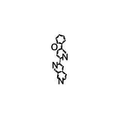 c1ccc2c(c1)oc1cc(-c3cc4ccncc4cn3)ncc12